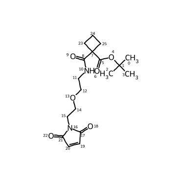 CC(C)(C)OC(=O)C1(C(=O)NCCOCCN2C(=O)C=CC2=O)CCC1